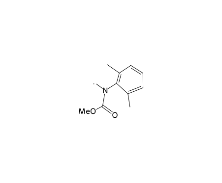 [CH2]N(C(=O)OC)c1c(C)cccc1C